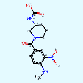 CNc1ccc(C(=O)N2CCC[C@@H](NC(=O)O)C2)cc1[N+](=O)[O-]